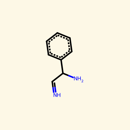 N=CC(N)c1ccccc1